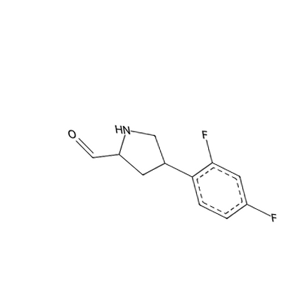 O=CC1CC(c2ccc(F)cc2F)CN1